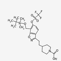 CC(C)(C)[Si](C)(C)OCc1c(OS(=O)(=O)C(F)(F)F)ccc2c(CCC3CCN(C(=O)O)CC3)noc12